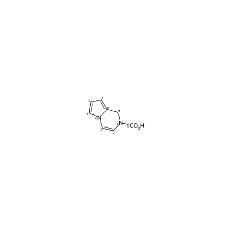 O=C(O)N1C=Cn2cccc2C1